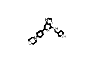 c1cnc2c(NCC3CCNC3)nc(-c3ccc(N4CCOCC4)cc3)cc2n1